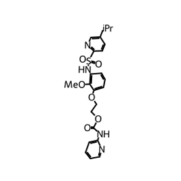 COc1c(NS(=O)(=O)c2ccc(C(C)C)cn2)cccc1OCCOC(=O)Nc1ccccn1